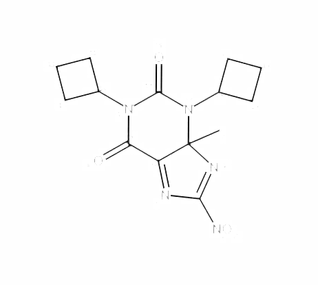 CC12N=C([N+](=O)[O-])N=C1C(=O)N(C1CCC1)C(=O)N2C1CCC1